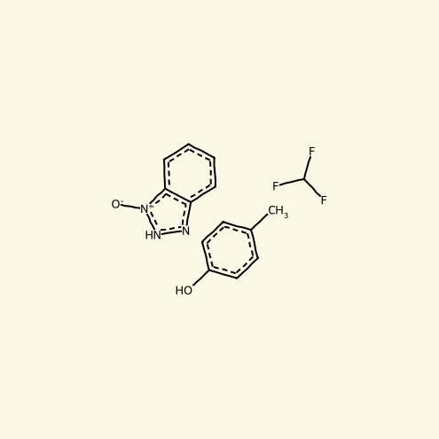 Cc1ccc(O)cc1.FC(F)F.[O-][n+]1[nH]nc2ccccc21